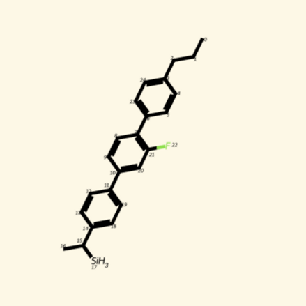 CCCc1ccc(-c2ccc(-c3ccc(C(C)[SiH3])cc3)cc2F)cc1